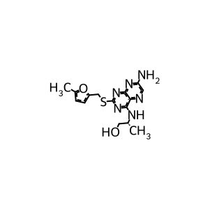 Cc1ccc(CSc2nc(N[C@H](C)CO)c3ncc(N)nc3n2)o1